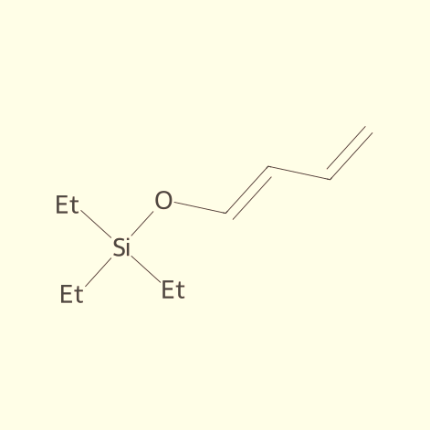 C=CC=CO[Si](CC)(CC)CC